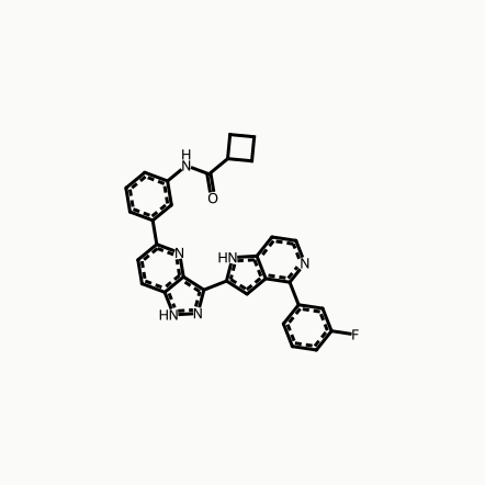 O=C(Nc1cccc(-c2ccc3[nH]nc(-c4cc5c(-c6cccc(F)c6)nccc5[nH]4)c3n2)c1)C1CCC1